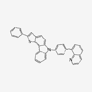 c1ccc(-c2cc3ccc4c(c5ccccc5n4-c4ccc(-c5cccc6cccnc56)cc4)c3s2)cc1